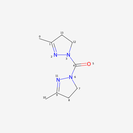 CC1=NN(C(=O)N2CCC(C)=N2)CC1